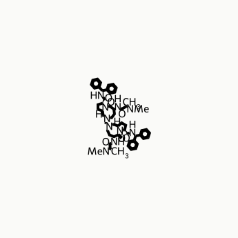 CN[C@@H](C)C(=O)N[C@H]1CCN(CN2CC[C@H](NC(=O)[C@H](C)NC)C(=O)N3[C@H](CC[C@H]3C(=O)NC(c3ccccc3)c3ccccc3)C2)C[C@H]2CC[C@@H](C(=O)NC(c3ccccc3)c3ccccc3)N2C1=O